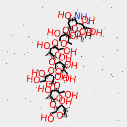 CC1OC(O[C@@H]2C(CO)O[C@@H](OC3C(OC4C(O)[C@H](O[C@@H]5C(CO)O[C@@H](O[C@@H]6C(CO)O[C@@H](C)[C@@H](C)C6O)[C@@H](C)C5O)OC(CO)[C@H]4O)O[C@H](CO)[C@@H](O)C3O)[C@@H](C)C2O)C(O)[C@@H](O[C@]2(C(=O)O)C[C@@H](O)[C@@H](N)C(C(O)[C@H](O)CO)O2)[C@H]1O